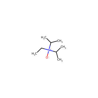 CC[N+]([O-])(C(C)C)C(C)C